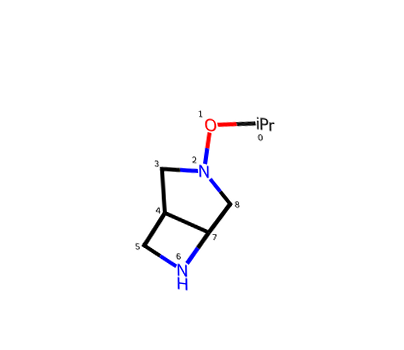 CC(C)ON1CC2CNC2C1